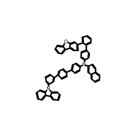 c1cc(-c2ccc(-c3ccc(N(c4ccc(-c5ccccc5-c5ccc6c(c5)oc5ccccc56)cc4)c4ccc5ccccc5c4)cc3)cc2)cc(-n2c3ccccc3c3ccccc32)c1